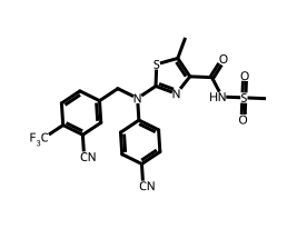 Cc1sc(N(Cc2ccc(C(F)(F)F)c(C#N)c2)c2ccc(C#N)cc2)nc1C(=O)NS(C)(=O)=O